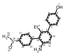 CCc1c(-c2ccc(O)cc2)cnc(N)c1-c1ccc([S+](C)[O-])cc1